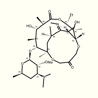 CC[C@H]1OC(=O)[C@H](C)[C@@H](O)[C@H](C)[C@@H](O[C@@H]2O[C@H](C)C[C@H](N(C)C)[C@H]2OC)[C@@]2(C)C[C@@H](C)/C(=N\C)[C@H](C)[C@@H](OCC(=O)CO2)[C@]1(C)O